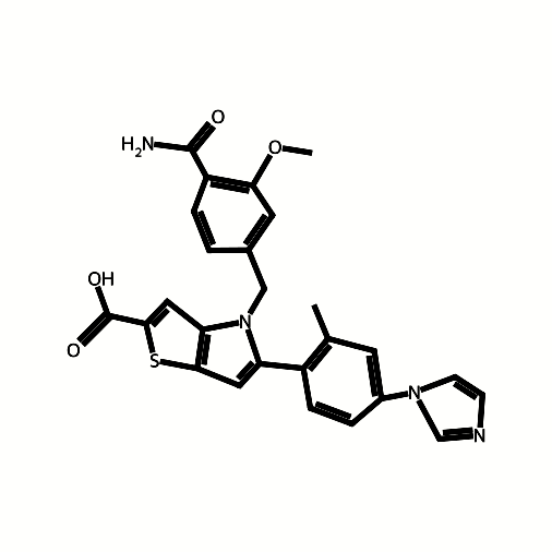 COc1cc(Cn2c(-c3ccc(-n4ccnc4)cc3C)cc3sc(C(=O)O)cc32)ccc1C(N)=O